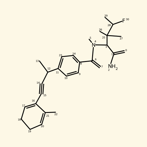 C=C(N)C(N(C)C(=C)c1ccc(C(C)C#CC2=CCCC=C2C)cc1)C(C)(C)C(C)F